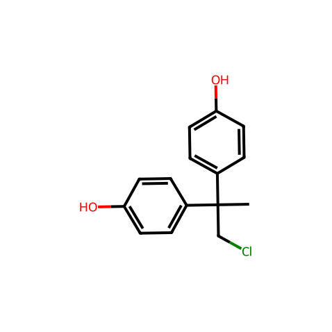 CC(CCl)(c1ccc(O)cc1)c1ccc(O)cc1